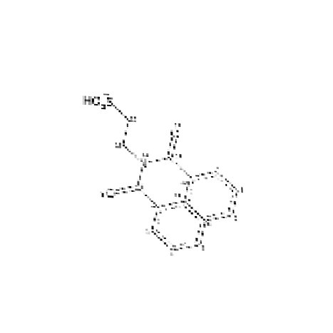 O=C1c2cccc3cccc(c23)C(=O)N1CCS(=O)(=O)O